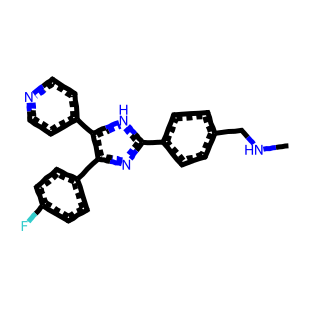 CNCc1ccc(-c2nc(-c3ccc(F)cc3)c(-c3ccncc3)[nH]2)cc1